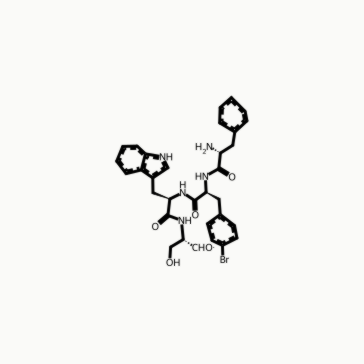 N[C@H](Cc1ccccc1)C(=O)N[C@@H](Cc1ccc(Br)cc1)C(=O)N[C@H](Cc1c[nH]c2ccccc12)C(=O)N[C@H]([C]=O)CO